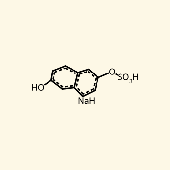 O=S(=O)(O)Oc1ccc2cc(O)ccc2c1.[NaH]